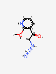 COc1ncccc1C(=O)CN=[N+]=[N-]